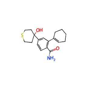 NC(=O)c1ccc(C2(O)CCSCC2)cc1C1=CCCCC1